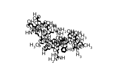 CSCC[C@H](NC(=O)[C@H](CCCNC(=N)N)NC(=O)[C@H](CCCNC(=N)N)NC(=O)[C@@H](NC(=O)[C@H](CCC(=O)O)NC(=O)[C@@H](N)CCC(=O)O)[C@@H](C)O)C(=O)N[C@@H](CC(C)C)C(=O)N[C@@H](Cc1c[nH]cn1)C(=O)N[C@@H](CCCNC(=N)N)C(=O)N[C@@H](C)C(=O)N[C@@H](Cc1ccccc1)C(=O)N[C@@H](CC(=O)O)C(=O)N[C@H](C(=O)N[C@@H](CC(C)C)C(=O)N[C@@H](C)C(=O)O)[C@@H](C)O